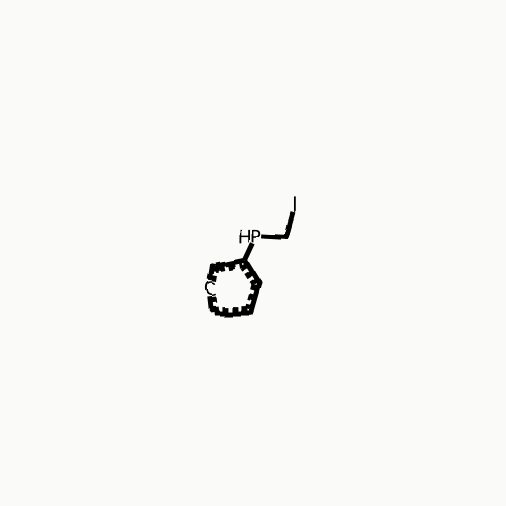 ICPc1ccccc1